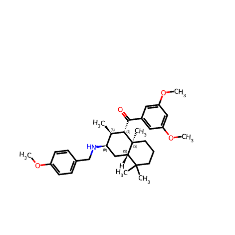 COc1ccc(CN[C@@H]2C[C@H]3C(C)(C)CCC[C@]3(C)[C@@H](C(=O)c3cc(OC)cc(OC)c3)[C@@H]2C)cc1